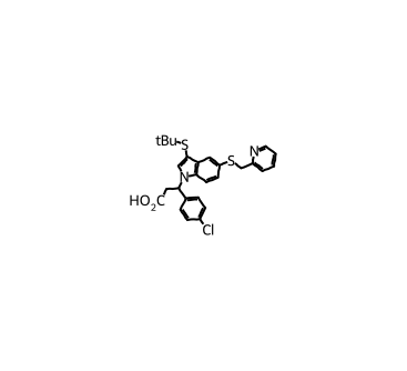 CC(C)(C)Sc1cn(C(CC(=O)O)c2ccc(Cl)cc2)c2ccc(SCc3ccccn3)cc12